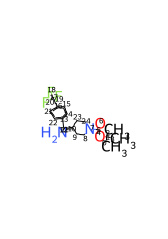 CC(C)(C)OC(=O)N1CCC(=C(N)c2ccc(C(F)(F)F)cc2)CC1